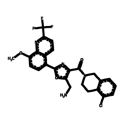 COc1ccc(-c2nc(C(=O)N3CCc4c(Cl)cccc4C3)c(CN)o2)c2ccc(C(F)(F)F)nc12